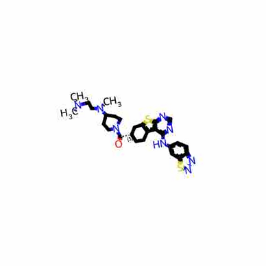 CN(C)CCN(C)C1CCN(C(=O)[C@H]2CCc3c(sc4ncnc(Nc5ccc6nnsc6c5)c34)C2)CC1